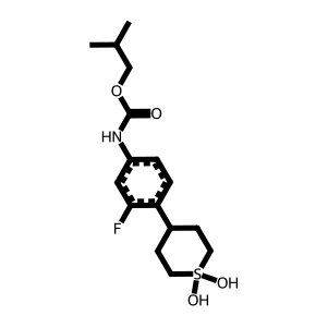 CC(C)COC(=O)Nc1ccc(C2CCS(O)(O)CC2)c(F)c1